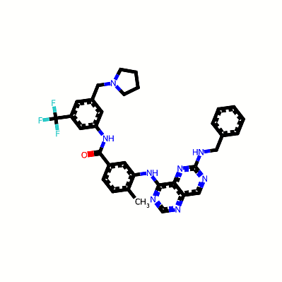 Cc1ccc(C(=O)Nc2cc(CN3CCCC3)cc(C(F)(F)F)c2)cc1Nc1ncnc2cnc(NCc3ccccc3)nc12